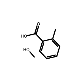 CO.Cc1ccccc1C(=O)O